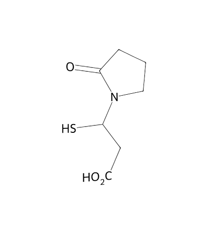 O=C(O)CC(S)N1CCCC1=O